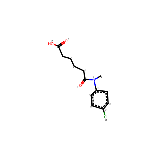 CN(C(=O)CCCCC(=O)O)c1ccc(Cl)cc1